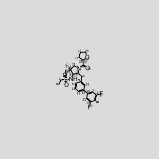 CCS(=O)(=O)N[C@@H]1[C@H](Cc2cccc(-c3cc(F)cc(F)c3)c2)N(C(=O)[C@H]2CCCO2)CC1(F)F